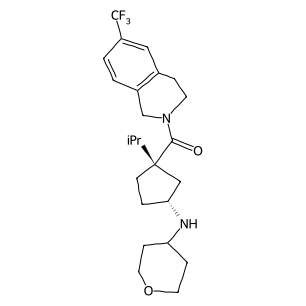 CC(C)[C@]1(C(=O)N2CCc3cc(C(F)(F)F)ccc3C2)CC[C@@H](NC2CCOCC2)C1